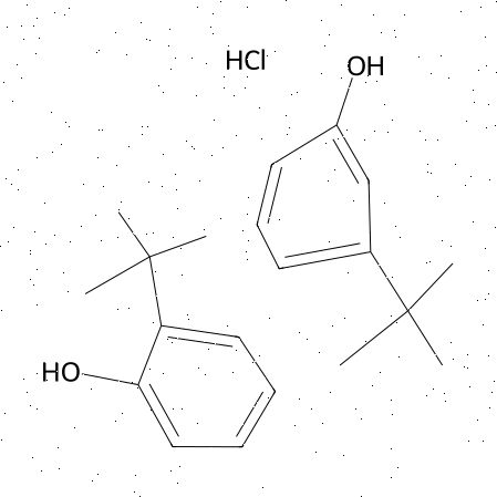 CC(C)(C)c1cccc(O)c1.CC(C)(C)c1ccccc1O.Cl